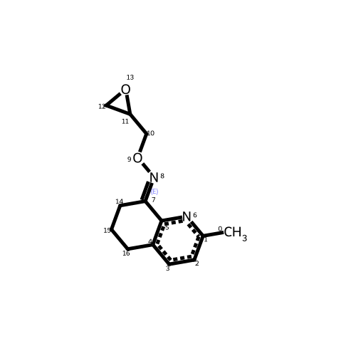 Cc1ccc2c(n1)/C(=N/OCC1CO1)CCC2